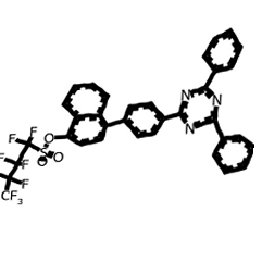 O=S(=O)(Oc1ccc(-c2ccc(-c3nc(-c4ccccc4)nc(-c4ccccc4)n3)cc2)c2ccccc12)C(F)(F)C(F)(F)C(F)(F)C(F)(F)F